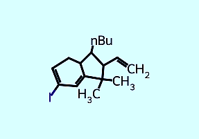 C=CC1C(CCCC)C2CC=C(I)C=C2C1(C)C